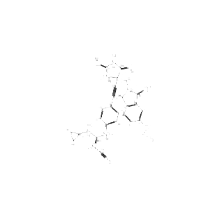 COc1ccc2c(c1)C(=O)N(C[C@@]1(C#Cc3ccc(N/C(=N\C#N)NC4CC4)cc3)NC(=O)NC1=O)C2